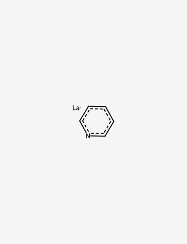 [La].c1ccncc1